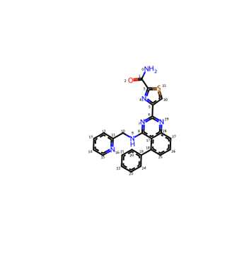 NC(=O)c1nc(-c2nc(NCc3ccccn3)c3c(-c4ccccc4)cccc3n2)cs1